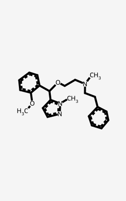 COc1ccccc1C(OCCN(C)CCc1ccccc1)c1ccnn1C